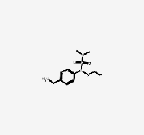 CN(C)S(=O)(=O)N(SCF)c1ccc(CN)cc1